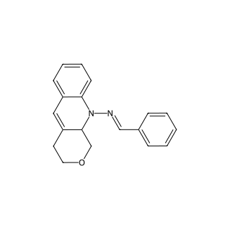 C(=NN1c2ccccc2C=C2CCOCC21)c1ccccc1